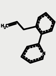 C=CCc1ccccc1-c1ccccn1